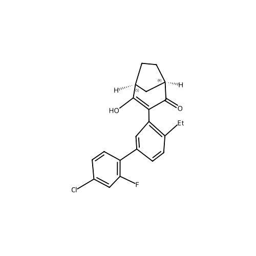 CCc1ccc(-c2ccc(Cl)cc2F)cc1C1=C(O)[C@H]2CC[C@H](C2)C1=O